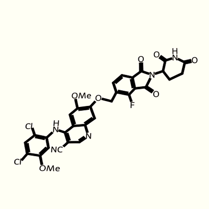 COc1cc(Nc2c(C#N)cnc3cc(OCc4ccc5c(c4F)C(=O)N(C4CCC(=O)NC4=O)C5=O)c(OC)cc23)c(Cl)cc1Cl